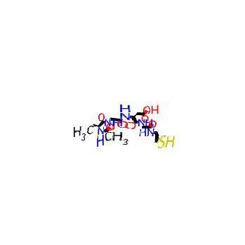 CC[C@H](NC(C)=O)C(=O)NCC(=O)N[C@@H](CC(=O)O)C(=O)NCC(=O)NCCS